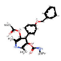 CCCNC(=O)OC1=C(C)NC(C)=C(OC(=O)OC)C1c1ccc(OCc2ccccc2)cc1